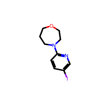 Ic1ccc(N2CCCOCC2)nc1